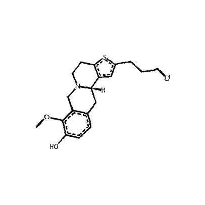 COc1c(O)ccc2c1CN1CCc3sc(CCCCl)cc3[C@@H]1C2